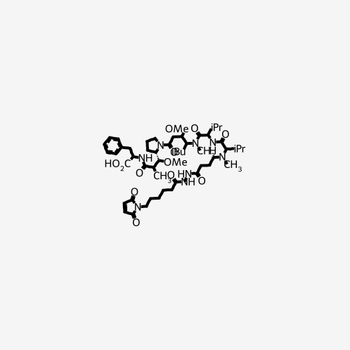 CCC(C)C(C(CC(=O)N1CCC[C@H]1C(OC)C(C)C(=O)NC(Cc1ccccc1)C(=O)O)OC)N(C)C(=O)C(NC(=O)C(C(C)C)N(C)CCCC(=O)NNC(=O)CCCCCN1C(=O)C=CC1=O)C(C)C